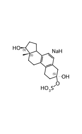 C[C@]12CCc3c(ccc4c3CC[C@](O)(OS(=O)(=O)O)C4)C1CC[C@@H]2O.[NaH]